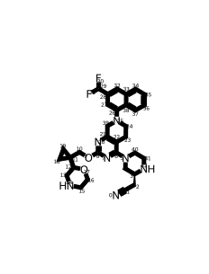 N#CC[C@H]1CN(c2nc(OCC3(C4CNCCO4)CC3)nc3c2CCN(c2cc(C(F)F)cc4ccccc24)C3)CCN1